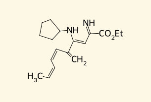 C=C(/C=C\C=C/C)/C(=C/C(=N)C(=O)OCC)NC1CCCC1